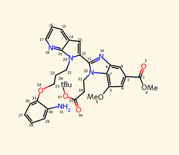 COC(=O)c1cc(OC)c2c(c1)nc(-c1cc3cccnc3n1CCCOc1ccccc1N)n2CCC(=O)OC(C)(C)C